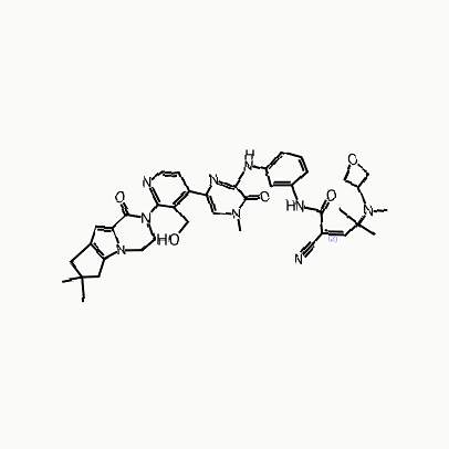 CN(C1COC1)C(C)(C)/C=C(/C#N)C(=O)Nc1cccc(Nc2nc(-c3ccnc(N4CCn5c(cc6c5CC(C)(C)C6)C4=O)c3CO)cn(C)c2=O)c1